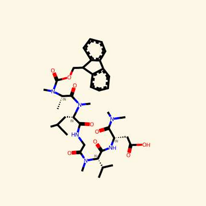 CC(C)C[C@@H](C(=O)NCC(=O)N(C)[C@H](C(=O)N[C@@H](CC(=O)O)C(=O)N(C)C)C(C)C)N(C)C(=O)[C@H](C)N(C)C(=O)OCC1c2ccccc2-c2ccccc21